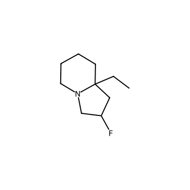 CCC12CCCCN1CC(F)C2